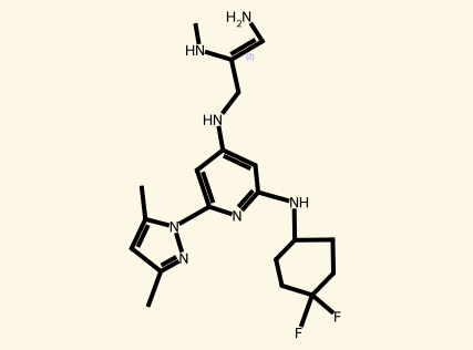 CN/C(=C\N)CNc1cc(NC2CCC(F)(F)CC2)nc(-n2nc(C)cc2C)c1